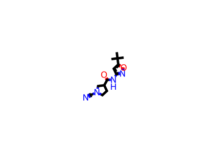 CC(C)(C)c1cc(NC(=O)C2CCN(C#N)C2)no1